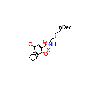 CCCCCCCCCCCCCCNS(=O)(=O)C1=CC(=O)C2=C(C1=O)C1CCC2C1